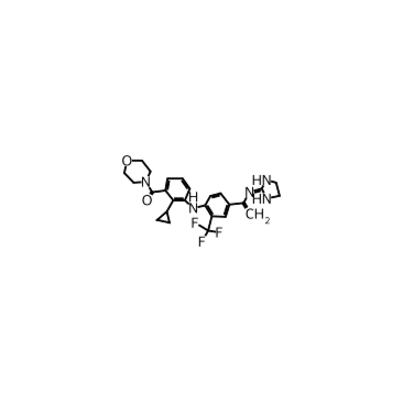 C=C(N=C1NCCN1)c1ccc(Nc2cccc(C(=O)N3CCOCC3)c2C2CC2)c(C(F)(F)F)c1